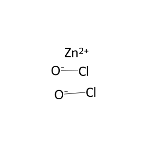 [O-]Cl.[O-]Cl.[Zn+2]